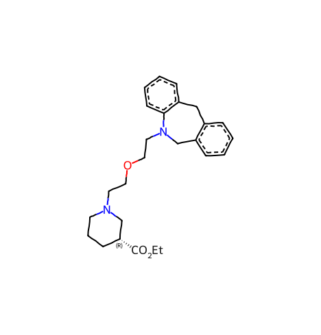 CCOC(=O)[C@@H]1CCCN(CCOCCN2Cc3ccccc3Cc3ccccc32)C1